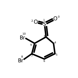 O=S(=O)=C1CC=CC(Br)=C1Br